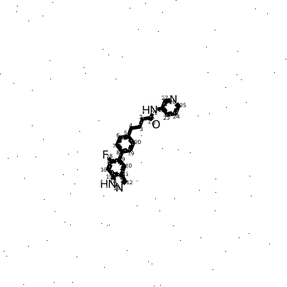 O=C(CCCc1ccc(-c2cc3cn[nH]c3cc2F)cc1)Nc1cccnc1